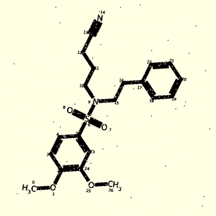 COc1ccc(S(=O)(=O)N(CCCC#N)CCc2ccccc2)cc1OC